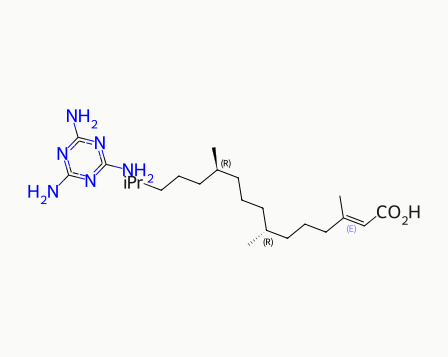 C/C(=C\C(=O)O)CCC[C@H](C)CCC[C@H](C)CCCC(C)C.Nc1nc(N)nc(N)n1